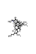 CC(C)CCC[C@@H](C)[C@H]1CC[C@H]2[C@@H]3[C@H]4OC(C)(C)O[C@@H]4[C@H]4CC(=O)/C(=C/O)C[C@]4(C)[C@H]3CC[C@]12C